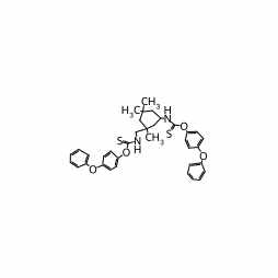 CC1(C)CC(NC(=S)Oc2ccc(Oc3ccccc3)cc2)CC(C)(CNC(=S)Oc2ccc(Oc3ccccc3)cc2)C1